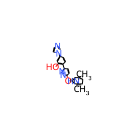 C[C@]12CC[C@](C)(C[C@@H](Oc3ccc(-c4ccc(-n5ccnc5)cc4O)nn3)C1)N2